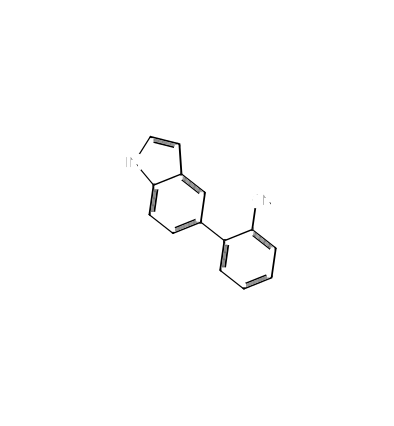 N#Cc1ccccc1-c1ccc2[nH]ccc2c1